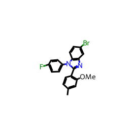 COc1cc(C)ccc1-c1nc2cc(Br)ccc2n1-c1ccc(F)cc1